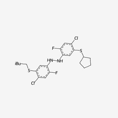 CCC(C)CSc1cc(NNc2cc(SC3CCCC3)c(Cl)cc2F)c(F)cc1Cl